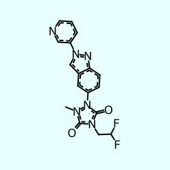 Cn1c(=O)n(CC(F)F)c(=O)n1-c1ccc2nn(-c3cccnc3)cc2c1